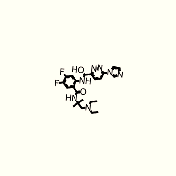 CCN(CC)CC(C)(C)NC(=O)c1cc(F)c(F)cc1NC(O)c1ccc(-n2ccnc2)nn1